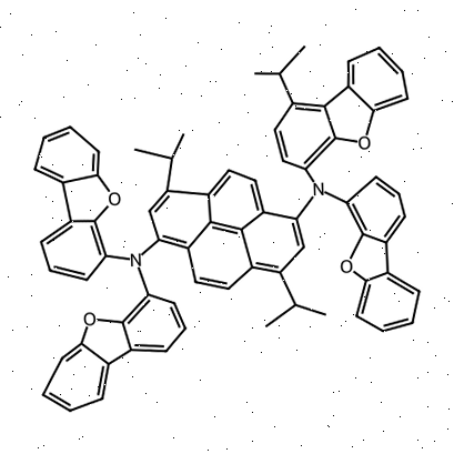 CC(C)c1cc(N(c2cccc3c2oc2ccccc23)c2cccc3c2oc2ccccc23)c2ccc3c(C(C)C)cc(N(c4cccc5c4oc4ccccc45)c4ccc(C(C)C)c5c4oc4ccccc45)c4ccc1c2c34